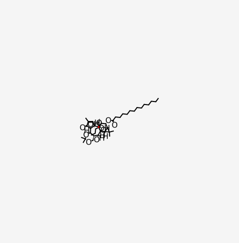 CCCCCCCCCCCCCC(=O)O[C@@H]1[C@@H](C)[C@@]2(O)[C@@H]([C@@H]3O[C@@]34COC(C)(C)O[C@H]4[C@]3(O)C(=O)C(C)=C[C@H]32)[C@H]2C(C)(C)[C@]12OC(=O)[C@@H](C)CC